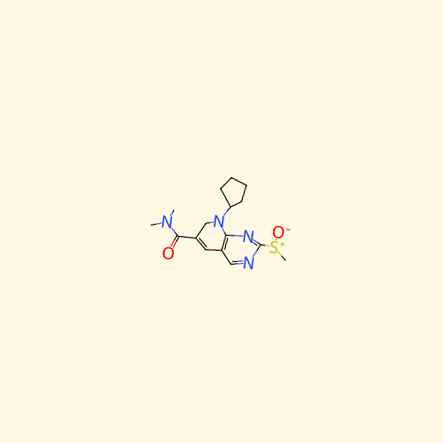 CN(C)C(=O)C1=Cc2cnc([S+](C)[O-])nc2N(C2CCCC2)C1